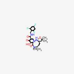 C[C@H]1/C=C\[C@@]2(COC(C)(C)C2)Nn2cc(C(=O)NCc3c(F)cc(F)cc3F)c(=O)c(O)c2C(=O)N1C